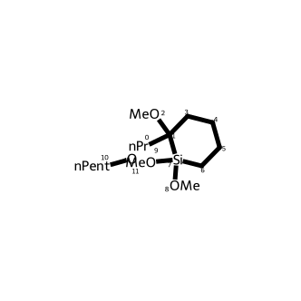 CCCC1(OC)CCCC[Si]1(OC)OC.CCCCC[O]